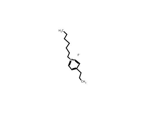 CCCCCCC[n+]1ccc(CCC)cc1.[F-]